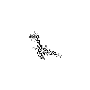 C=CC(=O)Nc1cc(Nc2nc(N3CCCC(N4CCn5c(cc6c5CC(C)(C)C6)C4=O)C3CO)cnc2C(N)=O)ccc1N1CCN(C2CCN(c3ccnc(C(C)(C)OP(=O)(O)O)c3)[C@H](C)C2)C[C@@H]1C